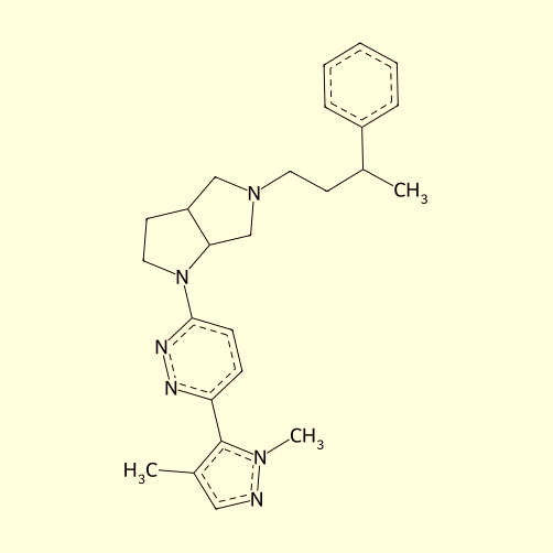 Cc1cnn(C)c1-c1ccc(N2CCC3CN(CCC(C)c4ccccc4)CC32)nn1